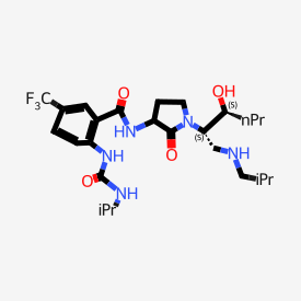 CCC[C@H](O)[C@H](CNCC(C)C)N1CCC(NC(=O)c2cc(C(F)(F)F)ccc2NC(=O)NC(C)C)C1=O